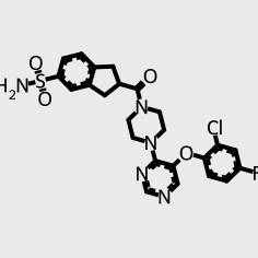 NS(=O)(=O)c1ccc2c(c1)CC(C(=O)N1CCN(c3ncncc3Oc3ccc(F)cc3Cl)CC1)C2